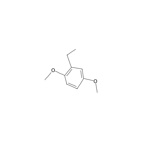 CCc1cc(OC)ccc1OC